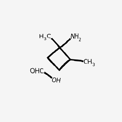 CC1CCC1(C)N.O=CO